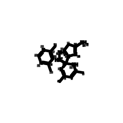 CC1=CC(C)=NC(NN)(N2CCC(N)=N2)N1.Cc1cc(C)ncn1